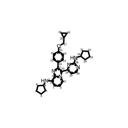 c1cc(NC2CCCC2)c2nc(-c3ccc(OCC4CC4)cc3)c(-c3ccnc(NC4CCCC4)n3)n2c1